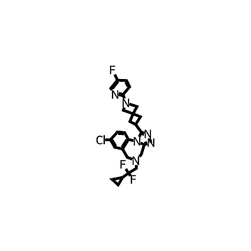 Fc1ccc(N2CC3(CC(c4nnc5n4-c4ccc(Cl)cc4CN(CC(F)(F)C4CC4)C5)C3)C2)nc1